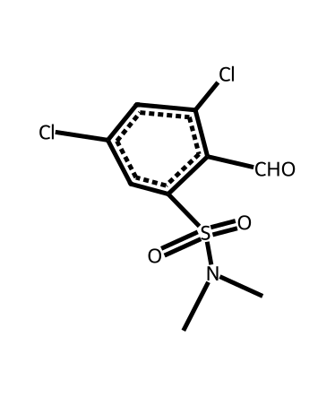 CN(C)S(=O)(=O)c1cc(Cl)cc(Cl)c1C=O